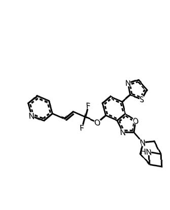 FC(F)(/C=C/c1cccnc1)Oc1ccc(-c2nccs2)c2oc(N3CC4CC(C3)N4)nc12